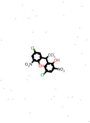 O=[N+]([O-])c1cc(Cl)cc(C(c2cc(Cl)cc([N+](=O)[O-])c2O)C(Cl)(Cl)Cl)c1O